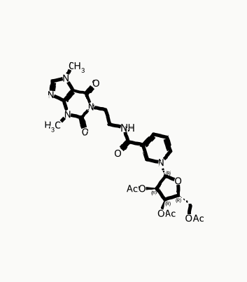 CC(=O)OC[C@H]1O[C@@H](N2C=CC=C(C(=O)NCCn3c(=O)c4c(ncn4C)n(C)c3=O)C2)[C@H](OC(C)=O)[C@@H]1OC(C)=O